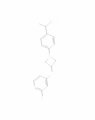 CC(=O)NC(C)c1ccc(N2CC(Oc3ccnc(F)c3)C2)cc1